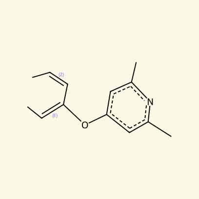 C/C=C\C(=C/C)Oc1cc(C)nc(C)c1